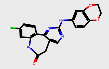 O=C1Cc2cnc(Nc3ccc4c(c3)OCCO4)nc2-c2ccc(Cl)cc2N1